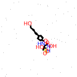 O=C(NC(C(=O)NO)C1(O)CS(=O)(=O)C1)c1ccc(C#CC#CCCO)cc1